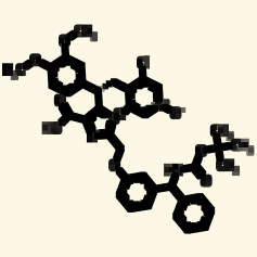 COc1ccc([C@H](Cc2c(Cl)c[n+]([O-])cc2Cl)c2oc(COc3cccc(C(NC(=O)OC(C)(C)C)c4ccccc4)c3)nc2C(=O)O)cc1OC